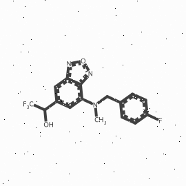 CN(Cc1ccc(F)cc1)c1cc(C(O)C(F)(F)F)cc2nonc12